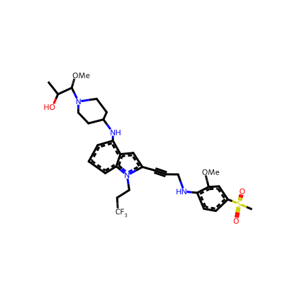 COc1cc(S(C)(=O)=O)ccc1NCC#Cc1cc2c(NC3CCN(C(OC)C(C)O)CC3)cccc2n1CCC(F)(F)F